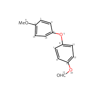 COc1ccc(Oc2ccc(OC=O)cc2)cc1